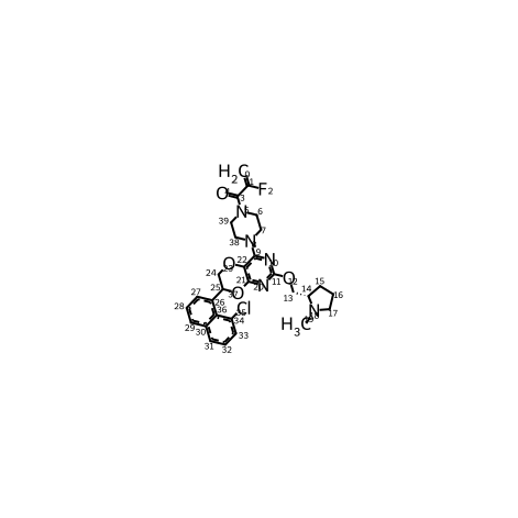 C=C(F)C(=O)N1CCN(c2nc(OC[C@@H]3CCCN3C)nc3c2OCC(c2cccc4cccc(Cl)c24)O3)CC1